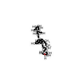 CCCC[C@@H](C)[C@H]1CC[C@H]2[C@@H]3[C@H](OCCO[C@@H]4OC(CO)[C@@H](O[C@H]5OC(CO)[C@@H](O)C(O)[C@@H]5O)C(O)[C@@H]4O)C[C@@H]4C[C@H](O)CC[C@]4(C)[C@H]3C[C@H](OCCO[C@@H]3OC(CO)[C@@H](O[C@H]4OC(CO)[C@@H](O)[C@H](O)C4O)C(O)C3O)[C@]12C